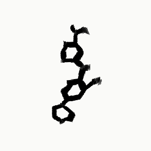 CC(=O)N(C)c1cc(Nc2ccc(N3CCOCC3)cc2[N+](=O)[O-])ncn1